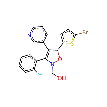 OCN1OC(c2ccc(Br)s2)C(c2cccnc2)=C1c1ccccc1F